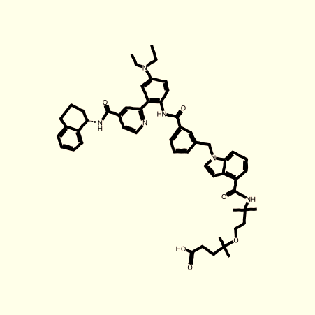 CCN(CC)c1ccc(NC(=O)c2cccc(Cn3ccc4c(C(=O)NC(C)(C)CCOC(C)(C)CCC(=O)O)cccc43)c2)c(-c2cc(C(=O)N[C@H]3CCCc4ccccc43)ccn2)c1